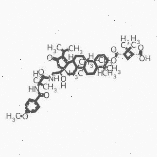 COc1ccc(C(=O)NC(C)(C)C(=O)NC[C@H](O)[C@@]23CC[C@]4(C)[C@H](CC[C@@H]5[C@@]6(C)CC[C@H](OC(=O)[C@H]7C[C@@H](C(=O)O)C7(C)C)C(C)(C)[C@@H]6CC[C@]54C)C2=C(C(C)C)C(=O)C3)cc1